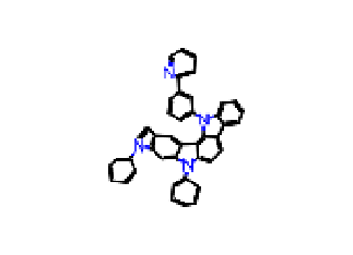 c1ccc(-n2ccc3cc4c5c(ccc6c7ccccc7n(-c7cccc(-c8ccccn8)c7)c65)n(-c5ccccc5)c4cc32)cc1